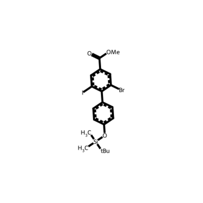 COC(=O)c1cc(Br)c(-c2ccc(O[Si](C)(C)C(C)(C)C)cc2)c(I)c1